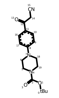 CC(C)(C)OC(=O)N1CCN(c2ccc(C(=O)CC#N)cc2)CC1